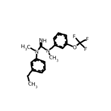 CCc1cccc(N(C)C(=N)N(C)c2cccc(OC(F)(F)F)c2)c1